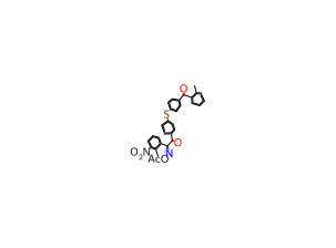 CC(=O)O/N=C(/C(=O)c1ccc(Sc2ccc(C(=O)c3ccccc3C)cc2)cc1)c1cccc([N+](=O)[O-])c1C